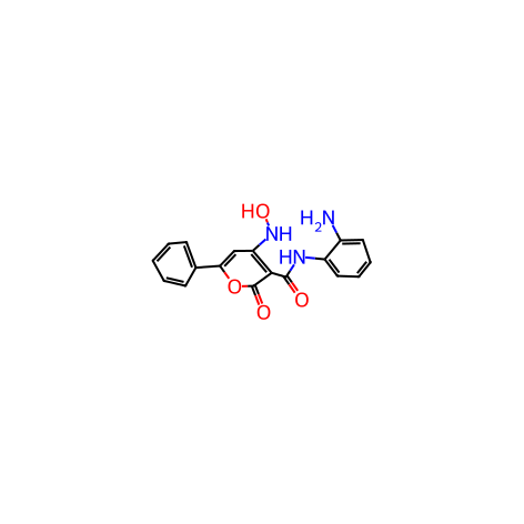 Nc1ccccc1NC(=O)c1c(NO)cc(-c2ccccc2)oc1=O